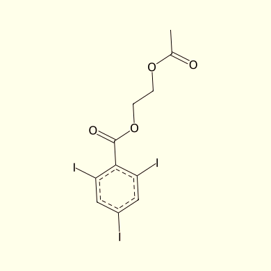 CC(=O)OCCOC(=O)c1c(I)cc(I)cc1I